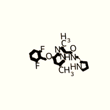 Cc1cc(OCc2c(F)cccc2F)c2nc(C)c(C(=O)NC[C@@H]3CCCN3)n2c1